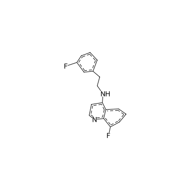 Fc1cccc(CCNc2ccnc3c(F)cccc23)c1